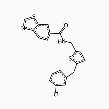 O=C(NCc1ccc(Cc2cccc(Cl)c2)s1)c1ccc2ncsc2c1